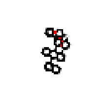 c1ccc(-c2cccc(-c3c4ccccc4c(-c4cccc5ccccc45)c4cccc(-c5ccc6oc7ccccc7c6c5)c34)c2)cc1